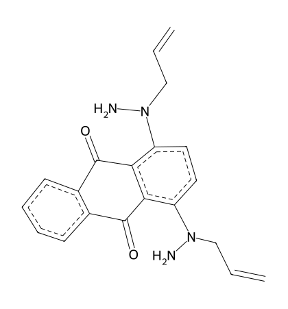 C=CCN(N)c1ccc(N(N)CC=C)c2c1C(=O)c1ccccc1C2=O